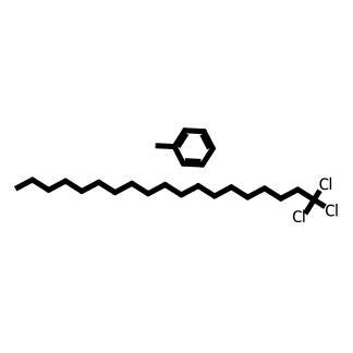 CCCCCCCCCCCCCCCCCCC(Cl)(Cl)Cl.Cc1ccccc1